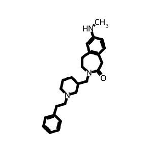 CNc1ccc2c(c1)CCN(CC1CCCN(CCc3ccccc3)C1)C(=O)C2